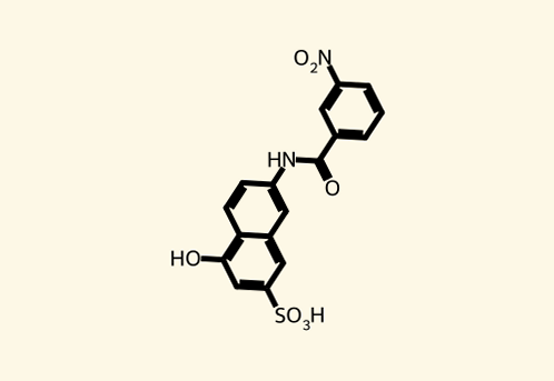 O=C(Nc1ccc2c(O)cc(S(=O)(=O)O)cc2c1)c1cccc([N+](=O)[O-])c1